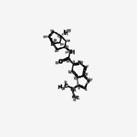 CC(=O)N(C)c1csc2cnc(C(=O)N[C@@H]3C[C@@H]4CCN(C4)C3)cc12